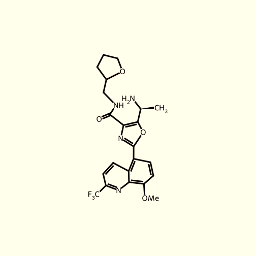 COc1ccc(-c2nc(C(=O)NCC3CCCO3)c([C@H](C)N)o2)c2ccc(C(F)(F)F)nc12